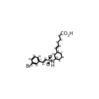 O=C(O)CCC/C=C/C1CCCC(NS(=O)(=O)/C=C/c2cccc(Br)c2)C1